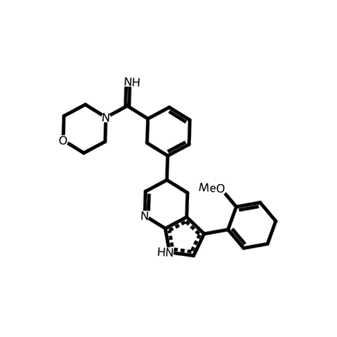 COC1=CCCC=C1c1c[nH]c2c1CC(C1=CC=CC(C(=N)N3CCOCC3)C1)C=N2